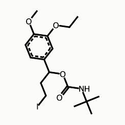 CCOc1cc(C(CCI)OC(=O)NC(C)(C)C)ccc1OC